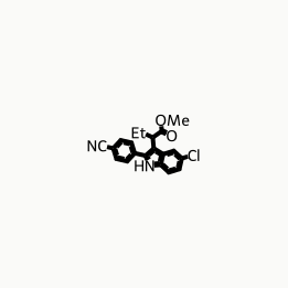 CCC(C(=O)OC)c1c(-c2ccc(C#N)cc2)[nH]c2ccc(Cl)cc12